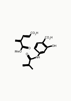 C=C(C)C(=O)Nc1ccc(C(=O)O)c(O)c1.C=C(C=CC(=O)O)C(=O)OC